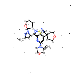 Cc1cc(-c2nsc3c(C4(C#N)CCOCC4)cc(N4CCOC[C@H]4C)nc23)n(C2CCCCO2)n1